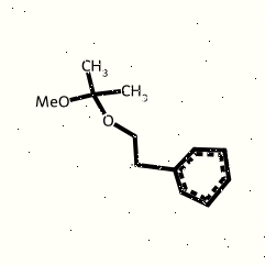 COC(C)(C)OC[CH]c1ccccc1